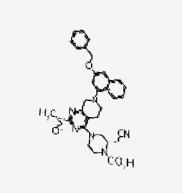 C[S+]([O-])c1nc2c(c(N3CCN(C(=O)O)[C@@H](CC#N)C3)n1)CCN(c1cc(OCc3ccccc3)cc3ccccc13)C2